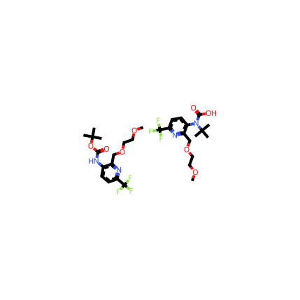 COCCOCc1nc(C(F)(F)F)ccc1N(C(=O)O)C(C)(C)C.COCCOCc1nc(C(F)(F)F)ccc1NC(=O)OC(C)(C)C